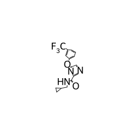 O=C(NCC1CC1)c1cncc(Oc2cccc(C(F)(F)F)c2)n1